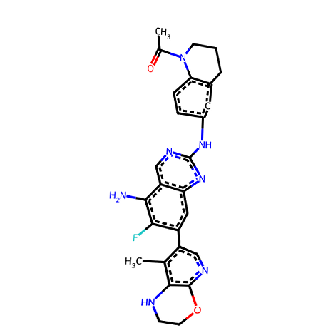 CC(=O)N1CCCc2cc(Nc3ncc4c(N)c(F)c(-c5cnc6c(c5C)NCCO6)cc4n3)ccc21